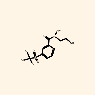 CCCN(CCO)C(=O)c1cccc(S(=O)(=O)C(Br)(Br)Br)c1